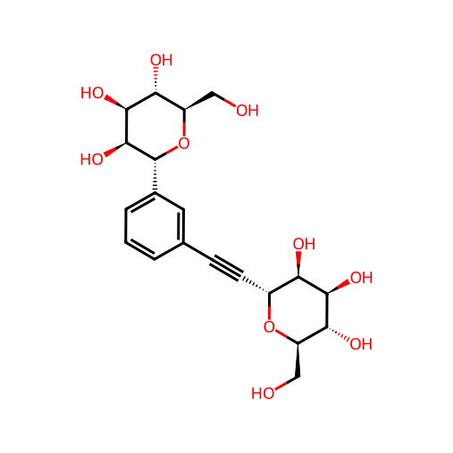 OC[C@H]1O[C@H](c2cccc(C#C[C@H]3O[C@H](CO)[C@@H](O)[C@H](O)[C@@H]3O)c2)[C@@H](O)[C@@H](O)[C@@H]1O